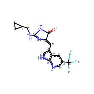 O=C1NC(NCC2CC2)=NC1=Cc1c[nH]c2ncc(C(F)(F)F)cc12